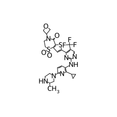 CC1CN(c2ccc(Nc3ncc(C(F)(F)F)c(-c4cc5c(s4)C(=O)N(C4COC4)CCS5(=O)=O)n3)c(C3CC3)n2)CCN1